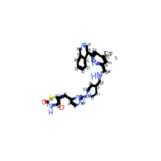 O=C1NC(=O)/C(=C\c2ccnc(N3CCC(CNCc4cc(C(F)(F)F)cc(-c5cncc6ccccc56)n4)CC3)n2)S1